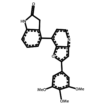 COc1cc(-c2cc3nccc(-c4cccc5c4CC(=O)N5)c3o2)cc(OC)c1OC